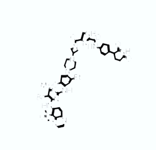 CCc1cc(Nc2ncc(Br)c(Nc3ccc4nccnc4c3P(C)(C)=O)n2)c(OC)cc1N1CCN(C2CN(C(=O)c3c[nH]c(C(=O)Nc4ccc(C5CCC(=O)NC5=O)cc4)n3)C2)CC1